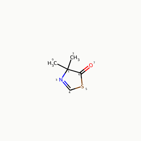 CC1(C)N=[C]SC1=O